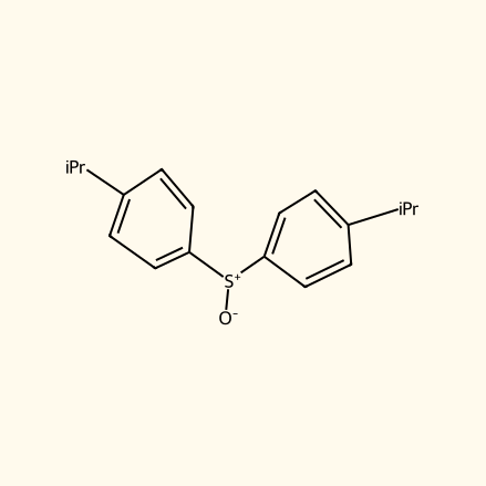 CC(C)c1ccc([S+]([O-])c2ccc(C(C)C)cc2)cc1